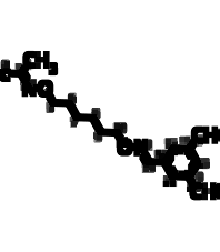 CC(=O)/C(C)=N/OCCCCCCO/N=C/c1cc(C=O)cc(C=O)c1